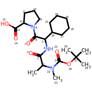 CC(C(=O)NC(C(=O)N1CCCC1C(=O)O)C1CCCCC1)N(C)C(=O)OC(C)(C)C